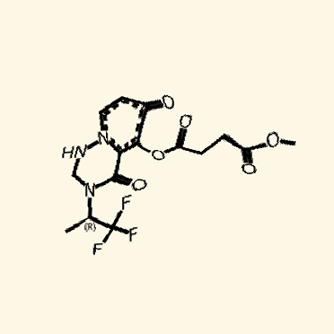 COC(=O)CCC(=O)Oc1c2n(ccc1=O)NCN([C@H](C)C(F)(F)F)C2=O